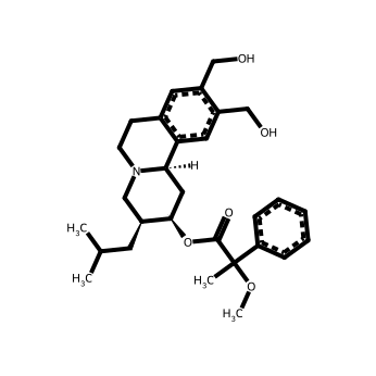 COC(C)(C(=O)O[C@@H]1C[C@@H]2c3cc(CO)c(CO)cc3CCN2C[C@@H]1CC(C)C)c1ccccc1